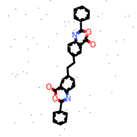 O=c1oc(-c2ccccc2)nc2ccc(CCc3ccc4nc(-c5ccccc5)oc(=O)c4c3)cc12